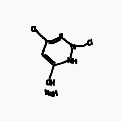 OC1=CC(Cl)=NN(Cl)N1.[NaH]